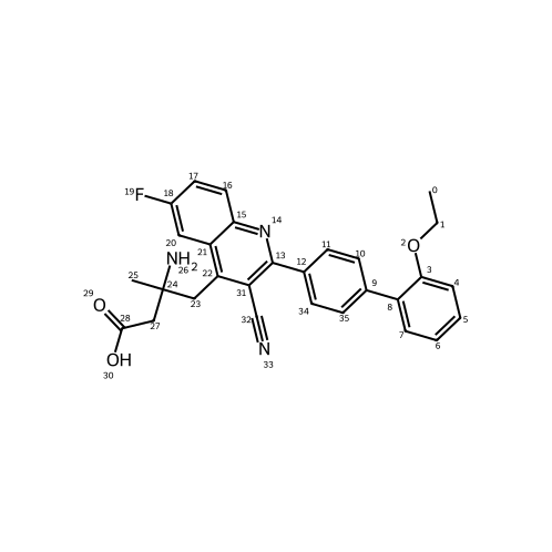 CCOc1ccccc1-c1ccc(-c2nc3ccc(F)cc3c(CC(C)(N)CC(=O)O)c2C#N)cc1